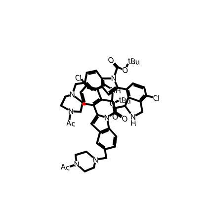 CC(=O)N1CCN(Cc2ccc3c(c2)cc(-c2ccc(Cl)c4c2C(C(=O)C2NCc5c(Cl)ccc(-c6cc7cc(CN8CCN(C(C)=O)CC8)ccc7n6C(=O)OC(C)(C)C)c52)NC4)n3C(=O)OC(C)(C)C)CC1